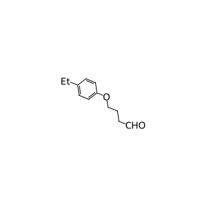 CCc1ccc(OCCCC=O)cc1